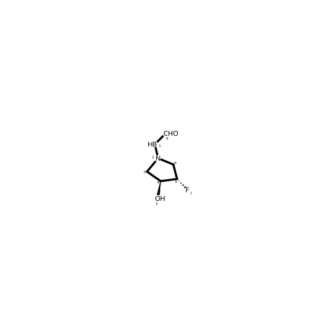 O=CBN1C[C@H](O)[C@@H](F)C1